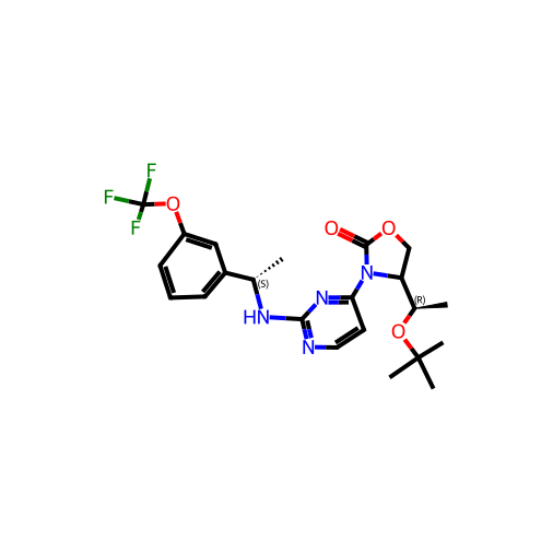 C[C@H](Nc1nccc(N2C(=O)OCC2[C@@H](C)OC(C)(C)C)n1)c1cccc(OC(F)(F)F)c1